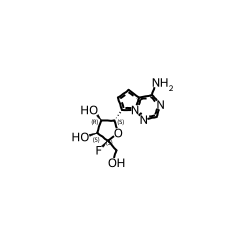 Nc1ncnn2c([C@@H]3O[C@](F)(CO)[C@@H](O)[C@H]3O)ccc12